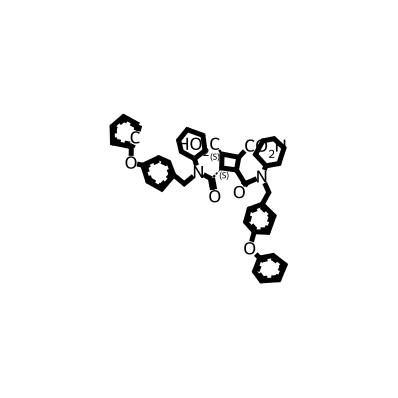 O=C(O)C1C(C(=O)N(Cc2ccc(Oc3ccccc3)cc2)C2CCCCC2)[C@H](C(=O)N(Cc2ccc(Oc3ccccc3)cc2)C2CCCCC2)[C@@H]1C(=O)O